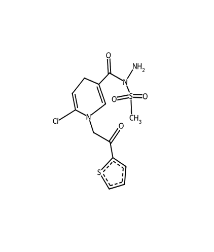 CS(=O)(=O)N(N)C(=O)C1=CN(CC(=O)c2cccs2)C(Cl)=CC1